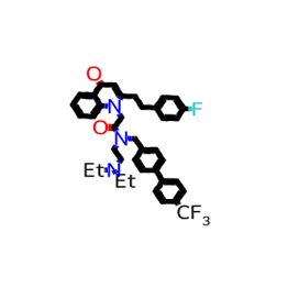 CCN(CC)CCN(Cc1ccc(-c2ccc(C(F)(F)F)cc2)cc1)C(=O)Cn1c(CCc2ccc(F)cc2)cc(=O)c2ccccc21